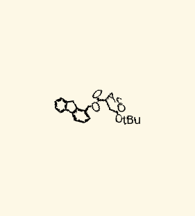 CC(=O)[C@@H](CC(=O)OC(C)(C)C)C(=O)OCc1cccc2c1Cc1ccccc1-2